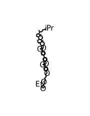 CCC1(COCCCCOc2ccc(C(=O)Oc3ccc(-c4ccc(C(=O)OC5CCC6(C)C(=CCC7C6CCC6(C)C(C(C)CCCC(C)C)CCC76)C5)cc4)cc3)cc2)COC1